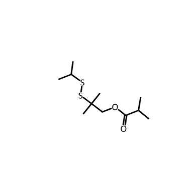 CC(C)SSC(C)(C)COC(=O)C(C)C